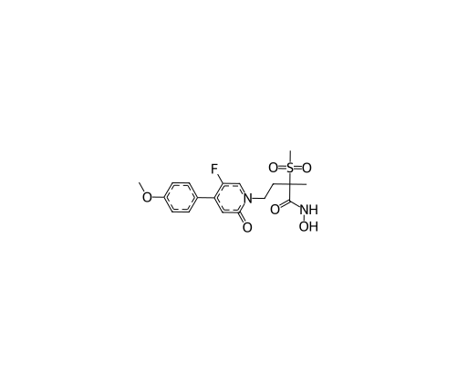 COc1ccc(-c2cc(=O)n(CCC(C)(C(=O)NO)S(C)(=O)=O)cc2F)cc1